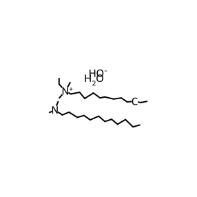 CCCCCCCCCCCCN(C)C.CCCCCCCCCCCC[N+](C)(C)CC.O.[OH-]